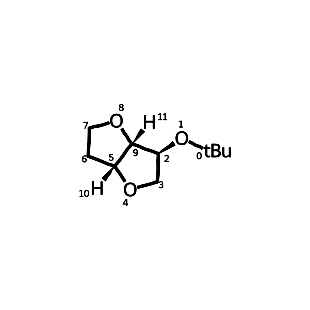 CC(C)(C)O[C@H]1CO[C@@H]2CCO[C@H]12